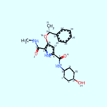 CNC(=O)c1[nH]c(C(=O)NC2CCC(O)CC2)cc1O[C@H](C)c1ccccc1